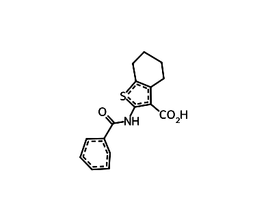 O=C(Nc1sc2c(c1C(=O)O)CCCC2)c1ccccc1